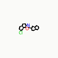 Clc1ccc2ccc3nc(-c4ccc5ccccc5c4)oc3c2c1